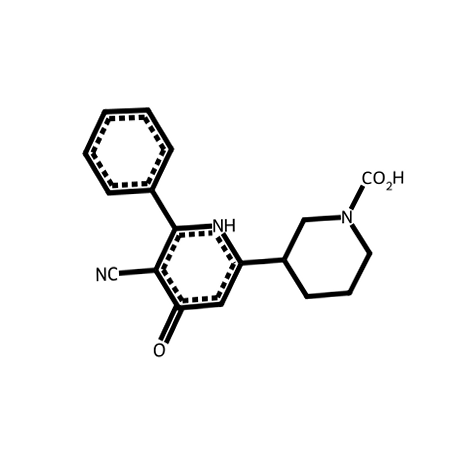 N#Cc1c(-c2ccccc2)[nH]c(C2CCCN(C(=O)O)C2)cc1=O